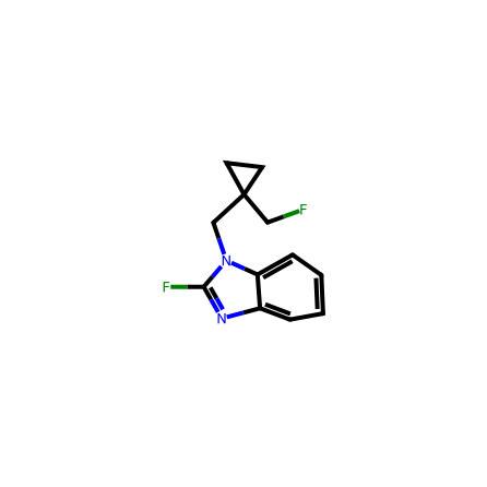 FCC1(Cn2c(F)nc3ccccc32)CC1